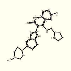 CN1CCN(c2ccc3[nH]c(-c4c(NCC5CCCN5)c5cc(Cl)ccc5[nH]c4=O)nc3c2)CC1